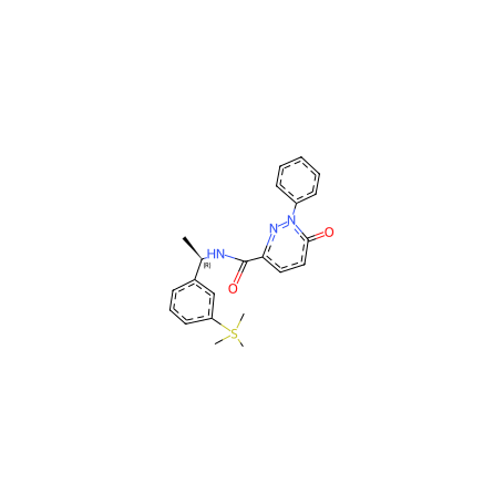 C[C@@H](NC(=O)c1ccc(=O)n(-c2ccccc2)n1)c1cccc(S(C)(C)C)c1